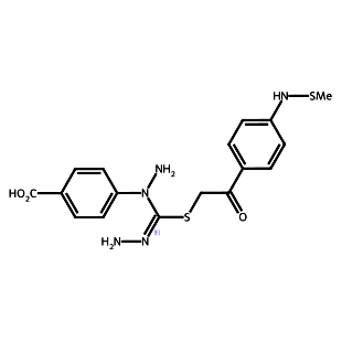 CSNc1ccc(C(=O)CS/C(=N/N)N(N)c2ccc(C(=O)O)cc2)cc1